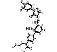 CCCCC(C(=O)O)c1ccc(-c2cccc(N/N=C3\C(=O)N(c4ccc(C)c(C)c4)N=C3C)c2O)cc1